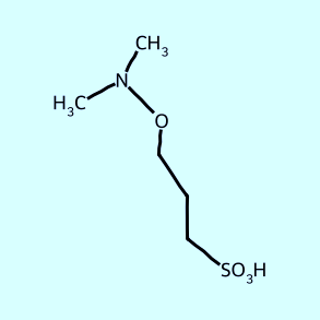 CN(C)OCCCS(=O)(=O)O